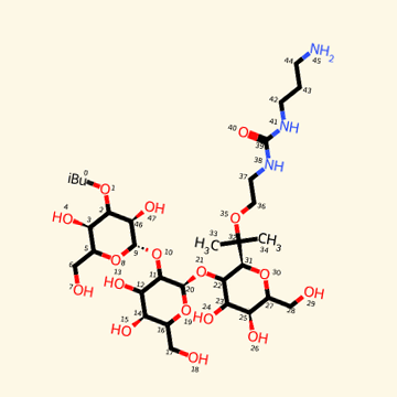 CCC(C)OC1[C@H](O)C(CO)O[C@@H](OC2C(O)[C@H](O)C(CO)O[C@@H]2OC2C(O)[C@H](O)C(CO)O[C@@H]2C(C)(C)OCCNC(=O)NCCCN)[C@@H]1O